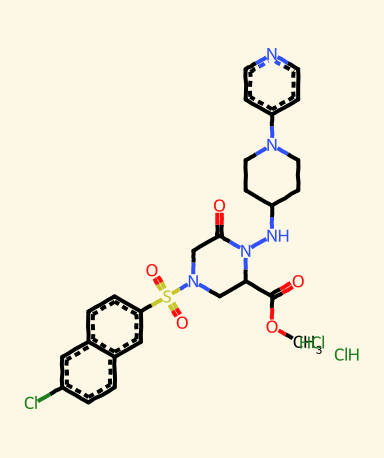 COC(=O)C1CN(S(=O)(=O)c2ccc3cc(Cl)ccc3c2)CC(=O)N1NC1CCN(c2ccncc2)CC1.Cl.Cl